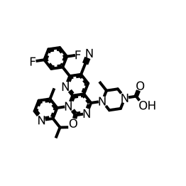 Cc1ccnc(C(C)C)c1-n1c(=O)nc(N2CCN(C(=O)O)CC2C)c2cc(C#N)c(-c3cc(F)ccc3F)nc21